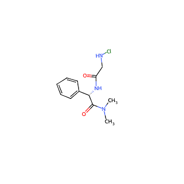 CN(C)C(=O)[C@@H](NC(=O)CNCl)c1ccccc1